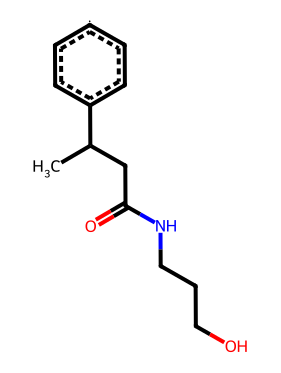 CC(CC(=O)NCCCO)c1cc[c]cc1